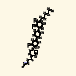 C/C=C/CCC1CCC(c2ccc(-c3ccc(-c4ccc(CCCCCC)c(F)c4F)cc3)cc2F)OC1